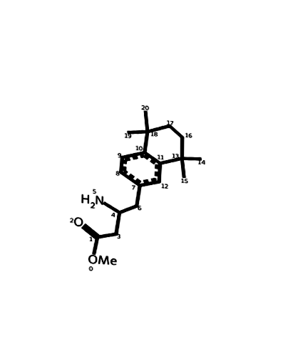 COC(=O)CC(N)Cc1ccc2c(c1)C(C)(C)CCC2(C)C